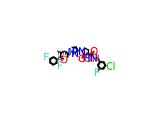 C[C@H]1C[C@@H](n2ccc(N3CC[C@](O)(C(=O)NCc4cc(F)cc(Cl)c4)C3=O)n2)CO[C@@H]1c1cc(F)ccc1F